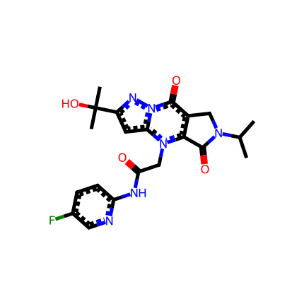 CC(C)N1Cc2c(n(CC(=O)Nc3ccc(F)cn3)c3cc(C(C)(C)O)nn3c2=O)C1=O